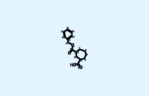 O=C(O)C1CCCCN(C(=O)OCc2ccccc2)C1